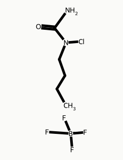 CCCCN(Cl)C(N)=O.F[B-](F)(F)F